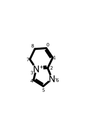 C1=CC2=[N+](C=C[N]2)CC1